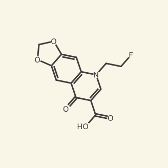 O=C(O)c1cn(CCF)c2cc3c(cc2c1=O)OCO3